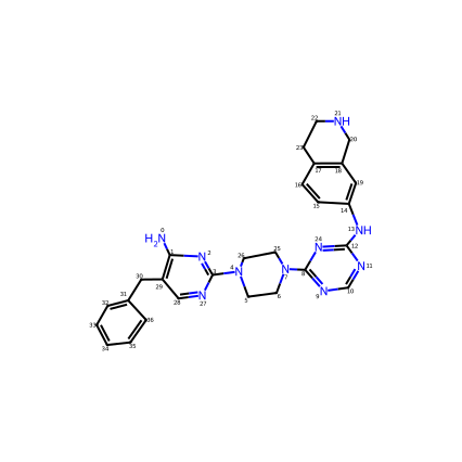 Nc1nc(N2CCN(c3ncnc(Nc4ccc5c(c4)CNCC5)n3)CC2)ncc1Cc1ccccc1